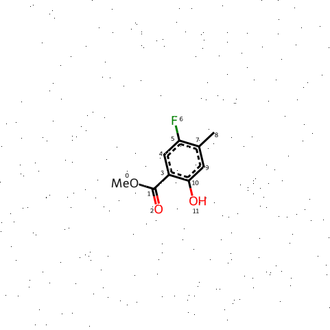 COC(=O)c1cc(F)c(C)cc1O